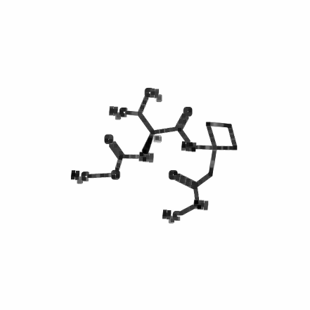 CNC(=O)CC1(NC(=O)[C@@H](NC(=O)OC)C(C)C)CCC1